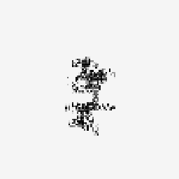 C=C1C[C@@H](CO[Si](C)(C)C(C)(C)C)N(C(=O)c2cc(OC)c(OCCCOc3cc(OC(N)=O)c(C(=O)N4CC(=C)C[C@H]4CO[Si](C)(C)C(C)(C)C)cc3OC)cc2N)C1